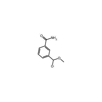 COC([O])c1cccc(C(N)=O)c1